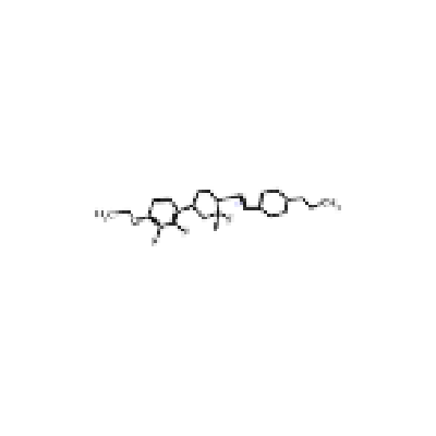 CCCC1CCC(/C=C/C2CCC(c3ccc(OCC)c(F)c3F)CC2(F)F)CC1